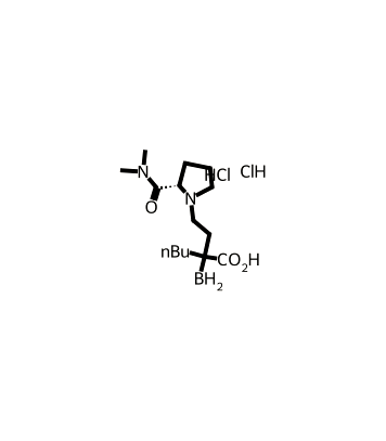 BC(CCCC)(CCN1CCC[C@H]1C(=O)N(C)C)C(=O)O.Cl.Cl